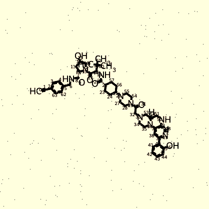 C#Cc1ccc(CNC(=O)[C@@H]2C[C@@H](O)CN2C(=O)[C@@H](NC(=O)[C@H]2CC[C@H](N3CCN(C(=O)CN4CCN5c6cc(-c7ccccc7O)nnc6NC[C@H]5C4)CC3)CC2)C(C)(C)C)cc1